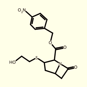 O=C(OCc1ccc([N+](=O)[O-])cc1)C1C(SCCO)CC2CC(=O)N21